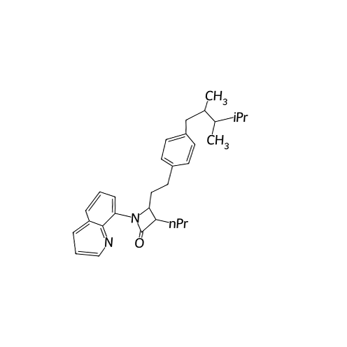 CCCC1C(=O)N(c2cccc3cccnc23)C1CCc1ccc(CC(C)C(C)C(C)C)cc1